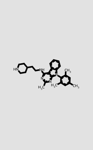 Cc1cc(C)c(-n2c3ccccc3c3c(NCCC4CCNCC4)nc(C)nc32)c(C)c1